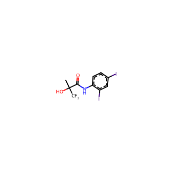 CC(O)(C(=O)Nc1ccc(I)cc1I)C(F)(F)F